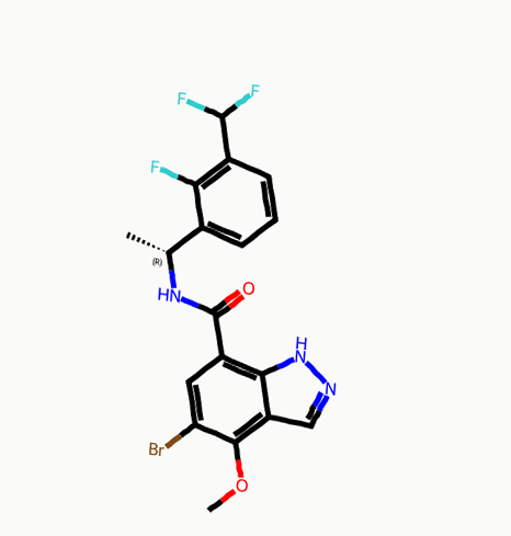 COc1c(Br)cc(C(=O)N[C@H](C)c2cccc(C(F)F)c2F)c2[nH]ncc12